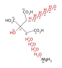 O.O.O.O.O.O.O.O.O.O=C(O)CC(O)(CC(=O)O)C(=O)O.[MgH2]